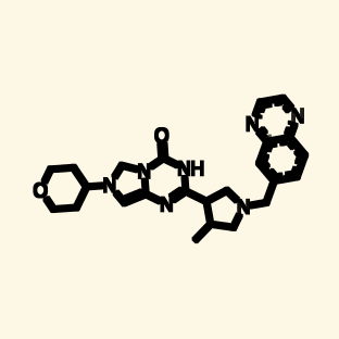 CC1CN(Cc2ccc3nccnc3c2)CC1C1=NC2=CN(C3CCOCC3)CN2C(=O)N1